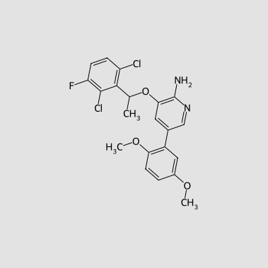 COc1ccc(OC)c(-c2cnc(N)c(OC(C)c3c(Cl)ccc(F)c3Cl)c2)c1